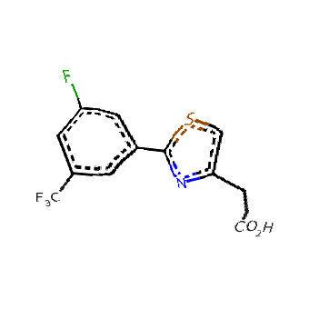 O=C(O)Cc1csc(-c2cc(F)cc(C(F)(F)F)c2)n1